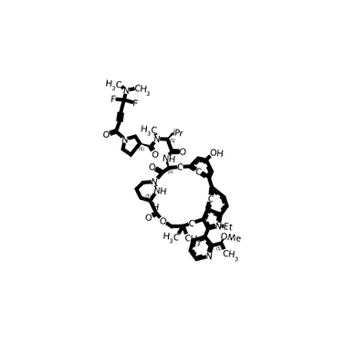 CCn1c(-c2cccnc2[C@H](C)OC)c2c3cc(ccc31)-c1cc(O)cc(c1)C[C@H](NC(=O)[C@H](C(C)C)N(C)C(=O)[C@H]1CCN(C(=O)C#CC(F)(F)N(C)C)C1)C(=O)N1CCC[C@H](N1)C(=O)OCC(C)(C)C2